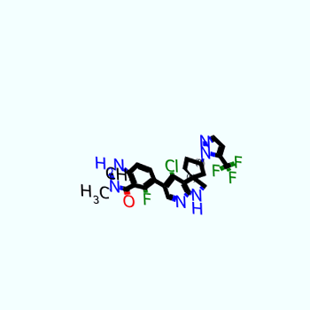 CN(C)C(=O)c1c(N)ccc(-c2cnc3c(c2Cl)[C@@]2(CC[C@@H](n4nccc4C(F)(F)F)C2)CN3)c1F